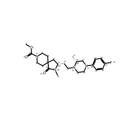 COC(=O)N1CCC2(CC1)C[C@H](CCN1CCN(c3ccc(F)cc3)C[C@H]1C)N(C)C2=O